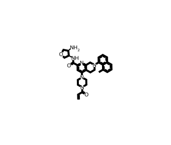 C=CC(=O)N1CCN(c2cc(C(=O)N[C@H]3COC[C@H]3N)nc3c2CCN(c2cccc4cccc(C)c24)C3)CC1